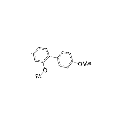 CCOc1c[c]ccc1-c1ccc(OC)cc1